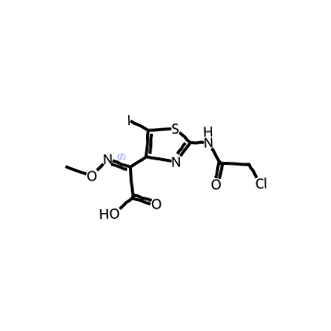 CO/N=C(\C(=O)O)c1nc(NC(=O)CCl)sc1I